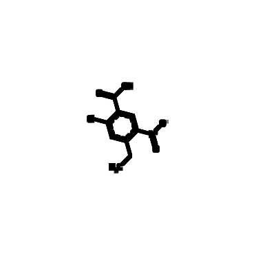 CCc1cc(Cl)c(C(=O)O)cc1[N+](=O)[O-]